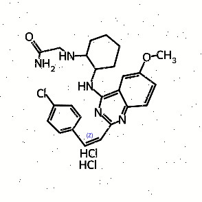 COc1ccc2nc(/C=C\c3ccc(Cl)cc3)nc(NC3CCCCC3NCC(N)=O)c2c1.Cl.Cl